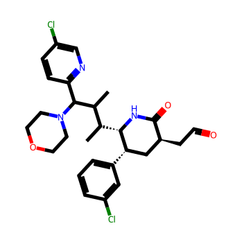 CC(C(C)[C@@H]1NC(=O)[C@@H](CC=O)C[C@@H]1c1cccc(Cl)c1)C(c1ccc(Cl)cn1)N1CCOCC1